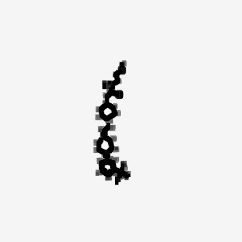 COCCNC(=O)C[C@H]1CC[C@H](CCN2CCN(c3cccc(C(F)(F)F)c3)CC2)CC1